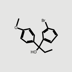 CCC(O)(c1ccc(OC)cc1)c1cccc(Br)c1